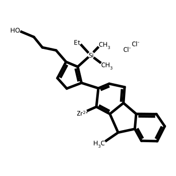 CC[Si](C)(C)C1=C(c2ccc3c([c]2[Zr+2])C(C)c2ccccc2-3)CC=C1CCCO.[Cl-].[Cl-]